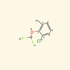 Cc1[c]ccc(Cl)c1OC(F)F